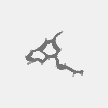 CCOC=Cc1cc(F)cc2ccncc12